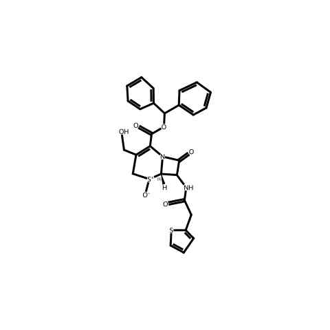 O=C(Cc1cccs1)NC1C(=O)N2C(C(=O)OC(c3ccccc3)c3ccccc3)=C(CO)C[S+]([O-])[C@@H]12